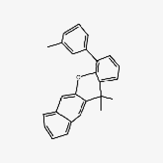 Cc1cccc(-c2cccc3c2Oc2cc4ccccc4cc2C3(C)C)c1